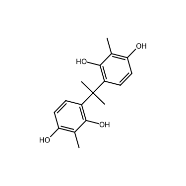 Cc1c(O)ccc(C(C)(C)c2ccc(O)c(C)c2O)c1O